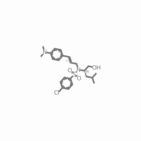 CC(C)C[C@H](CO)N(C/C=C/c1ccc(N(C)C)cc1)S(=O)(=O)c1ccc(Cl)cc1